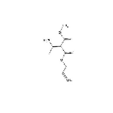 C=CCOC(=O)C(C(=O)OC)C(N)I